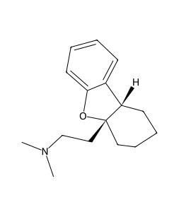 CN(C)CC[C@]12CCCC[C@H]1c1ccccc1O2